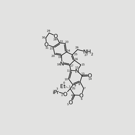 CC[C@@]1(OC(C)C)C(=O)OCc2c1cc1n(c2=O)Cc2c-1nc1cc3c(cc1c2CN)OCCO3